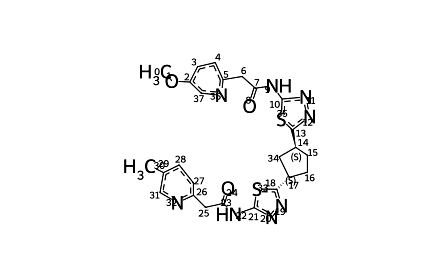 COc1ccc(CC(=O)Nc2nnc([C@H]3CC[C@H](c4nnc(NC(=O)Cc5ccc(C)cn5)s4)C3)s2)nc1